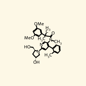 COc1cc(OC)cc(C(C)(C)C(=O)N(C)c2cnc(N3C[C@H](O)C[C@H]3CO)cc2-c2ccccc2C)c1